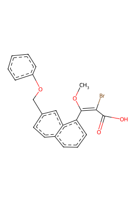 CO/C(=C(\Br)C(=O)O)c1cccc2ccc(COc3ccccc3)cc12